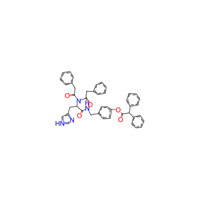 O=C(Oc1ccc(CNC(=O)C(Cc2c[nH]cn2)N(C(=O)Cc2ccccc2)C(=O)Cc2ccccc2)cc1)C(c1ccccc1)c1ccccc1